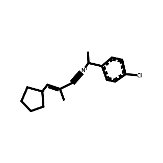 C/C(C#[N+]C(C)c1ccc(Cl)cc1)=C\[C]1CCCC1